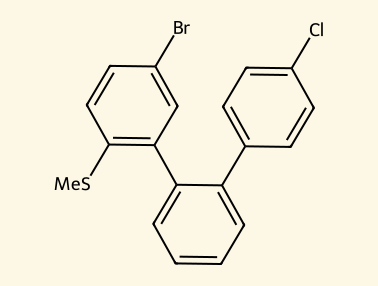 CSc1ccc(Br)cc1-c1ccccc1-c1ccc(Cl)cc1